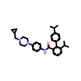 CC(C)c1ccc(-c2c(C(=O)Nc3ccc(N4CCN(CC5CC5)CC4)cc3)cccc2C(C)C)cc1